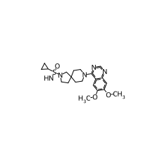 COc1cc2ncnc(N3CCC4(CC3)CCN(S(=N)(=O)C3CC3)C4)c2cc1OC